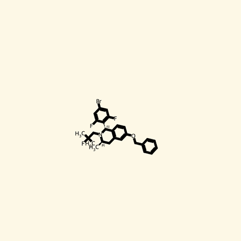 C[C@@H]1Cc2cc(OCc3ccccc3)ccc2[C@@H](c2c(F)cc(Br)cc2F)N1CC(C)(C)F